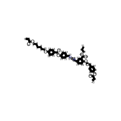 C=CC(=O)OCCCCCCOc1ccc(C(=O)Oc2ccc(/C=N/N=C/c3ccc(OOCc4ccc(OC(=O)C=C)cc4)c(C(=O)OCCC)c3)cc2)cc1